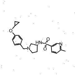 Cc1ccc(S(=O)(=O)N[C@@H]2CCN(Cc3ccc(OC4CC4)cc3)C2)cn1